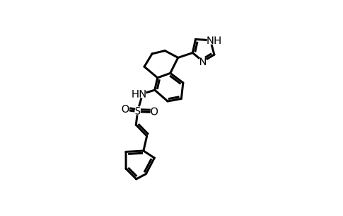 O=S(=O)(C=Cc1ccccc1)Nc1cccc2c1CCCC2c1c[nH]cn1